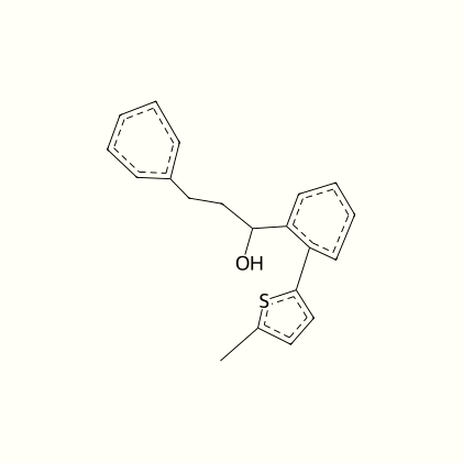 Cc1ccc(-c2ccccc2C(O)CCc2ccccc2)s1